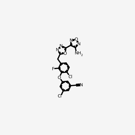 N#Cc1cc(Cl)cc(Oc2c(Cl)ccc(Cc3nnc(-c4nonc4N)o3)c2F)c1